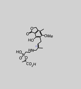 COc1c(C)c2c(c(O)c1C/C=C(\C)CNCCP(=O)(O)O[C@@H](C)C(=O)O)C(=O)OC2